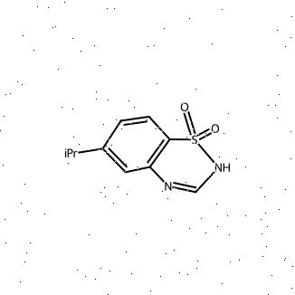 CC(C)c1ccc2c(c1)N=CNS2(=O)=O